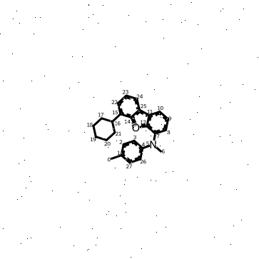 Cc1ccc(N(C)c2cccc3c2oc2c(C4CCCCC4)cccc23)cc1